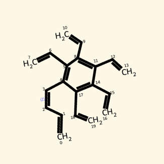 C=C/C=C\c1c(C=C)c(C=C)c(C=C)c(C=C)c1C=C